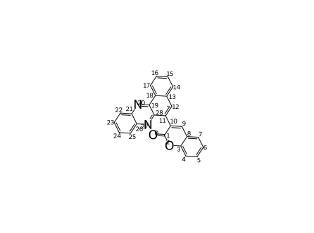 O=c1oc2ccccc2cc1-c1[c]c2ccccc2c2nc3ccccc3nc12